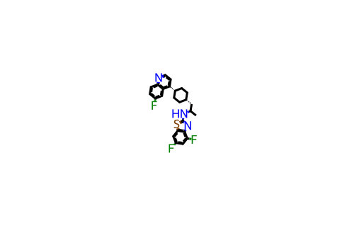 CC(C[C@H]1CC[C@@H](c2ccnc3ccc(F)cc32)CC1)Nc1nc2c(F)cc(F)cc2s1